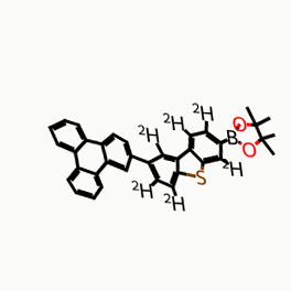 [2H]c1c(-c2ccc3c4ccccc4c4ccccc4c3c2)c([2H])c2c(sc3c([2H])c(B4OC(C)(C)C(C)(C)O4)c([2H])c([2H])c32)c1[2H]